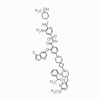 COc1ncc(CN2CCN(C3CC4(CCN(c5ccc(C(=O)NS(=O)(=O)c6cnc(NC[C@H]7CC[C@](C)(O)CC7)c(N)c6)c(Oc6cnc7c(c6)C(F)=CC7)c5)CC4)C3)[C@H](c3ccccc3C(C)C)C2)cn1